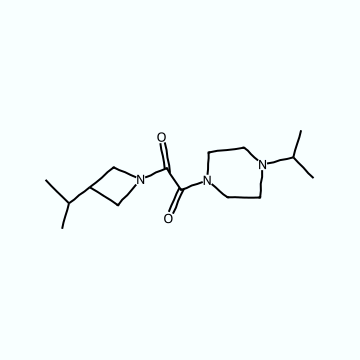 CC(C)C1CN(C(=O)C(=O)N2CCN(C(C)C)CC2)C1